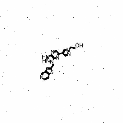 OCCn1cc(-c2cnc3c(n2)N(Cc2cc4cnccc4s2)NN3)cn1